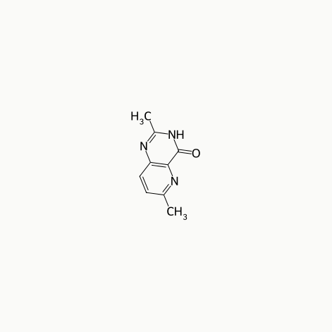 Cc1ccc2nc(C)[nH]c(=O)c2n1